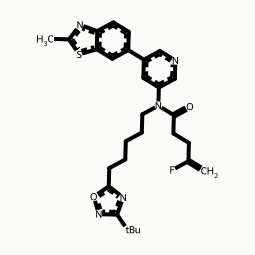 C=C(F)CCC(=O)N(CCCCCc1nc(C(C)(C)C)no1)c1cncc(-c2ccc3nc(C)sc3c2)c1